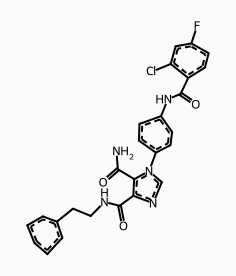 NC(=O)c1c(C(=O)NCCc2ccccc2)ncn1-c1ccc(NC(=O)c2ccc(F)cc2Cl)cc1